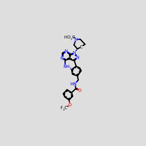 Nc1ncnc2c1c(-c1ccc(CNC(=O)c3cccc(OC(F)(F)F)c3)cc1)nn2[C@@H]1CCCN(C(=O)O)C1